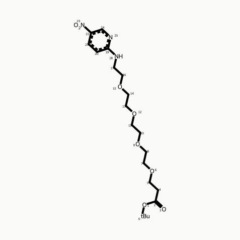 CC(C)(C)OC(=O)CCOCCOCCOCCOCCNc1ccc([N+](=O)[O-])cn1